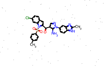 Cc1ccc(S(=O)(=O)n2c(C(=O)c3cnn(-c4ccc5[nH]c(C)nc5c4)c3N)cc3ccc(Cl)cc32)cc1